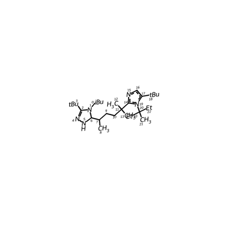 CCC(C)N1C(C(C)(C)C)=NNC1C(C)CCC(C)(C)c1ncc(C(C)(C)C)n1C(C)(CC)CC